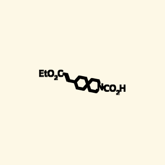 CCOC(=O)C=CC1CCC2(CC1)CCN(C(=O)O)CC2